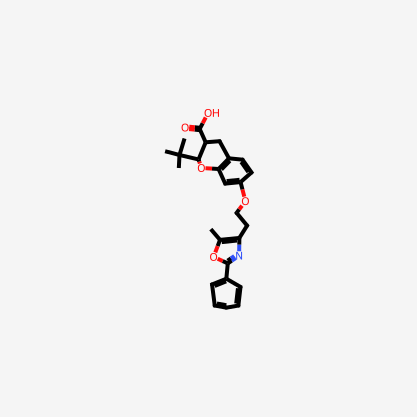 Cc1oc(-c2ccccc2)nc1CCOc1ccc2c(c1)OC(C(C)(C)C)C(C(=O)O)C2